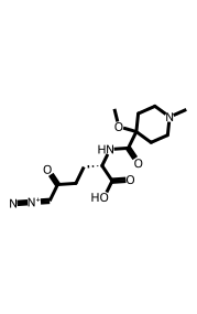 COC1(C(=O)N[C@@H](CCC(=O)C=[N+]=[N-])C(=O)O)CCN(C)CC1